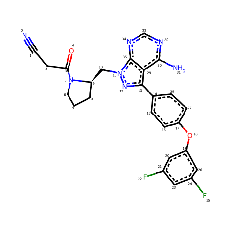 N#CCC(=O)N1CCC[C@@H]1Cn1nc(-c2ccc(Oc3cc(F)cc(F)c3)cc2)c2c(N)ncnc21